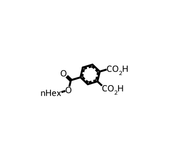 CCCCCCOC(=O)c1ccc(C(=O)O)c(C(=O)O)c1